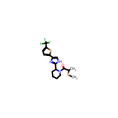 CSC(C)C(=O)N1CCCCC1c1nc(-c2ccc(C(F)(F)F)s2)c[nH]1